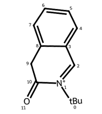 CC(C)(C)[N+]1=Cc2ccccc2CC1=O